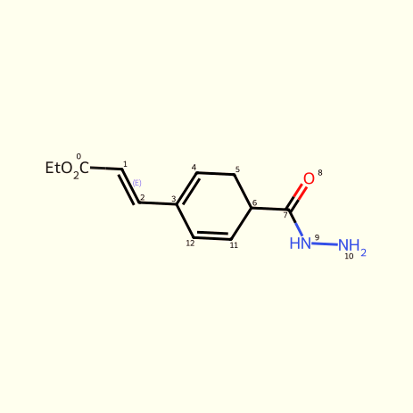 CCOC(=O)/C=C/C1=CCC(C(=O)NN)C=C1